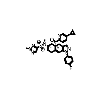 CN([C@H]1CCC2=Cc3c(cnn3-c3ccc(F)cc3)C[C@]2(C(=O)c2ccc(C3CC3)cn2)C1)S(=O)(=O)c1cnn(C)n1